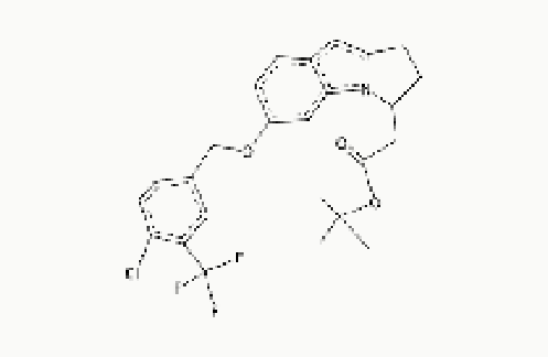 CC(C)(C)OC(=O)CC1CCc2cc3ccc(OCc4ccc(Cl)c(C(F)(F)F)c4)cc3n21